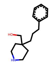 OCC1(CCCc2ccccc2)CCNCC1